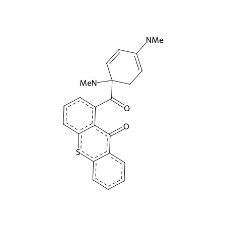 CNC1=CCC(NC)(C(=O)c2cccc3sc4ccccc4c(=O)c23)C=C1